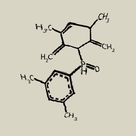 C=C1C(C)=CC(C)C(=C)C1[PH](=O)c1cc(C)cc(C)c1